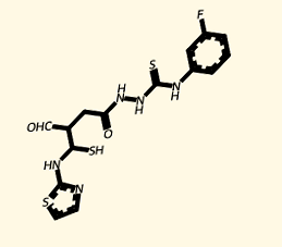 O=CC(CC(=O)NNC(=S)Nc1cccc(F)c1)C(S)Nc1nccs1